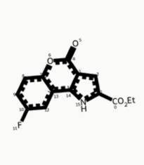 CCOC(=O)c1cc2c(=O)oc3ccc(F)cc3c2[nH]1